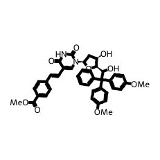 COC(=O)c1ccc(C=Cc2cn([C@H]3C[C@H](O)[C@@H](C(O)C(c4ccccc4)(c4ccc(OC)cc4)c4ccc(OC)cc4)O3)c(=O)[nH]c2=O)cc1